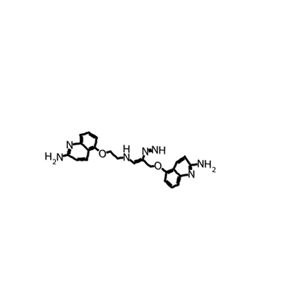 N=N/C(=C\NCCOc1cccc2nc(N)ccc12)COc1cccc2nc(N)ccc12